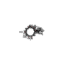 CCC(=O)N[C@@H](Cc1c[nH]c2ccccc12)C(=O)N[C@H](CC(N)=O)C(=O)N[C@@](C)(CC(=O)O)C(=O)N[C@@H]1C(=O)NCC(=O)N[C@@H](CCCN)C(=O)N[C@@H](CC(=O)O)C(=O)N[C@H](C)C(=O)N[C@@H](CC(=O)O)C(=O)NCC(=O)N[C@H](CO)C(=O)N[C@@H](C(C)CC(=O)O)C(=O)NC(C(=O)c2ccccc2N)C(=O)O[C@@H]1C